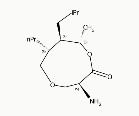 CCC[C@H]1COC[C@H](N)C(=O)O[C@@H](C)[C@@H]1CC(C)C